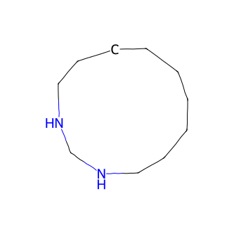 C1CCCCNCNCCCC1